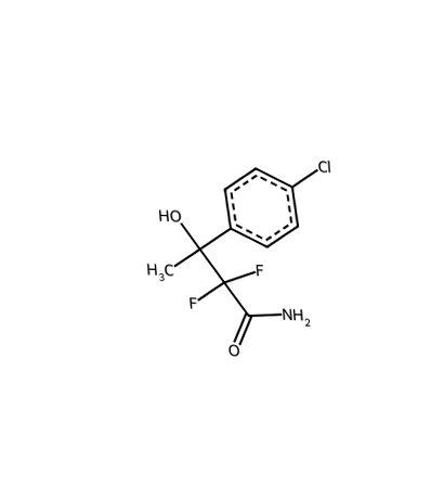 CC(O)(c1ccc(Cl)cc1)C(F)(F)C(N)=O